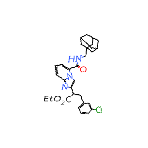 CCOC(=O)C(Cc1cccc(Cl)c1)c1cn2c(C(=O)NCC34CC5CC(CC(C5)C3)C4)cccc2n1